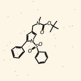 CN(Cc1cc(-c2ccccc2)n(S(=O)(=O)c2ccccc2)c1)C(=O)OC(C)(C)C